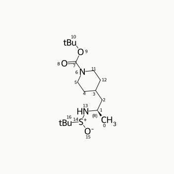 C[C@H](CC1CCN(C(=O)OC(C)(C)C)CC1)N[S+]([O-])C(C)(C)C